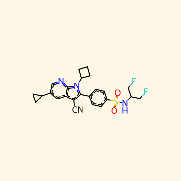 N#Cc1c(-c2ccc(S(=O)(=O)NC(CF)CF)cc2)n(C2CCC2)c2ncc(C3CC3)cc12